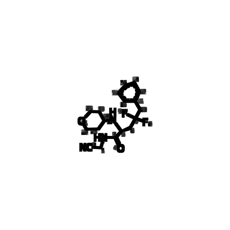 N#CCNC(=O)[C@H](CC(F)(F)Cc1ccccc1)NC1CCOCC1